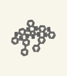 c1ccc(-c2ccc3c(c2)B2c4sc5c6c4N(c4ccccc4N6c4ccc6c7c4B5c4ccc(-c5ccccc5)cc4N7c4ccccc4S6)c4ccc5c(c42)N3c2ccccc2S5)cc1